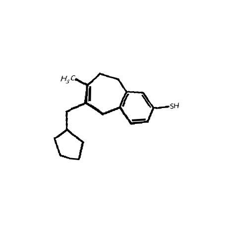 CC1=C(CC2CCCC2)Cc2ccc(S)cc2CC1